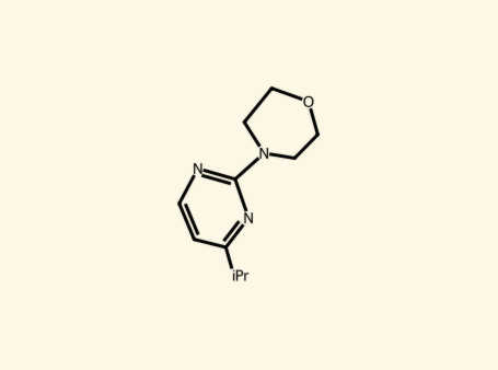 CC(C)c1ccnc(N2CCOCC2)n1